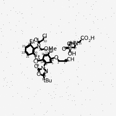 C#CCOc1cc(-n2nc(C(C)(C)C)oc2=O)c(Cl)cc1Cl.CCc1cccc(CC)c1N(COC)C(=O)CCl.O=C(O)CNCP(=O)(O)O